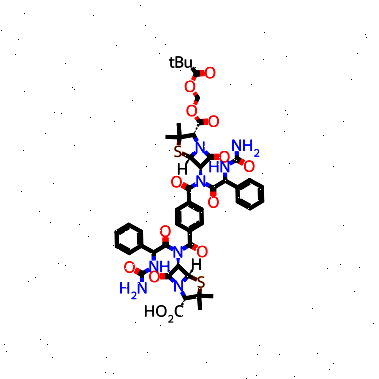 CC(C)(C)C(=O)OCOC(=O)[C@@H]1N2C(=O)[C@@H](N(C(=O)c3ccc(C(=O)N(C(=O)C(NC(N)=O)c4ccccc4)[C@@H]4C(=O)N5[C@@H]4SC(C)(C)[C@@H]5C(=O)O)cc3)C(=O)C(NC(N)=O)c3ccccc3)[C@H]2SC1(C)C